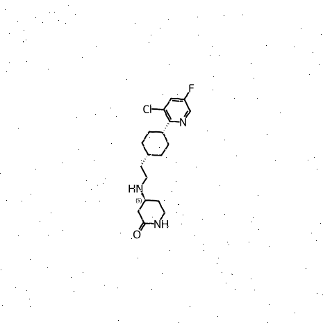 O=C1C[C@@H](NCC[C@H]2CC[C@@H](c3ncc(F)cc3Cl)CC2)CCN1